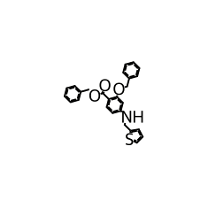 O=C(OCc1ccccc1)c1ccc(NCc2cccs2)cc1OCc1ccccc1